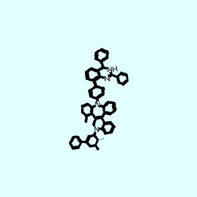 CC1CC=CC2=C1C1=C(c3ccccc3N2C2=CCC(c3cccc4c3N=C(c3ccccc3)NC4c3ccccc3)C=C2)c2ccccc2N(C2C=C(c3ccccc3)CC(C)[C@H]2C)C1